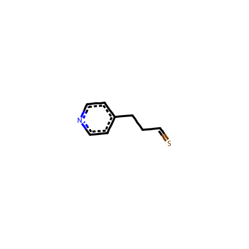 S=CCCc1ccncc1